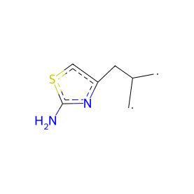 [CH2]C([CH2])Cc1csc(N)n1